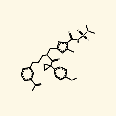 C=C(C)c1cccc(CCCN(Cc2nc(C(=O)NS(=O)(=O)N(C)C)c(C)s2)C(=O)C2(c3ccc(OC)cn3)CC2)c1